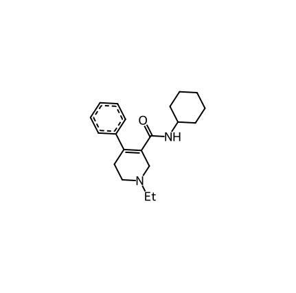 CCN1CCC(c2ccccc2)=C(C(=O)NC2CCCCC2)C1